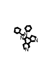 c1ccc(-c2nc3c4ccncc4c4cnccc4c3n2-c2ccccc2)cc1